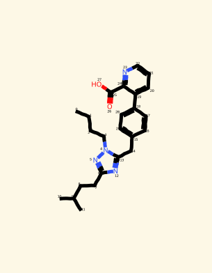 CCCCn1nc(CCC(C)C)nc1Cc1ccc(-c2cccnc2C(=O)O)cc1